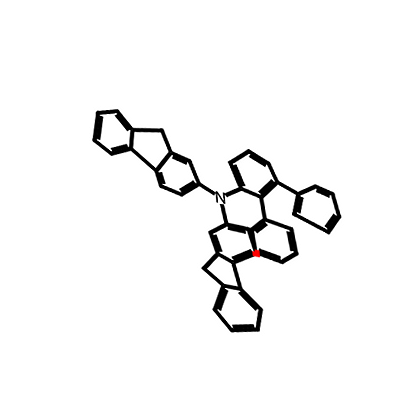 c1ccc(-c2cccc(N(c3ccc4c(c3)Cc3ccccc3-4)c3ccc4c(c3)Cc3ccccc3-4)c2-c2ccccc2)cc1